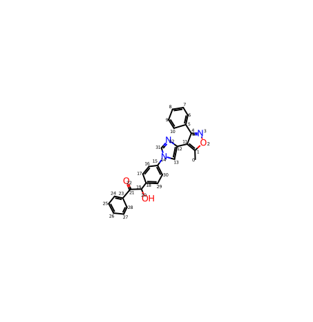 Cc1onc(-c2ccccc2)c1-c1cn(-c2ccc(C(O)C(=O)c3ccccc3)cc2)cn1